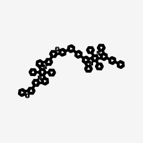 c1ccc(-c2ccc(-c3cc4c5ccccc5n5c6c(-c7ccccc7)c7c8cc(-c9ccc(-c%10cccc(-c%11ccc%12c(c%11)oc%11ccc(-c%13ccc%14c(c%13)c%13cccc%15c%16c(-c%17ccccc%17)c%17c(c(-c%18ccccc%18)c%16n%14c%13%15)c%13cccc%14c%15cc(-c%16ccc%18oc%19ccccc%19c%18c%16)ccc%15n%17c%14%13)cc%11%12)c%10)cc9)cc9c%10ccccc%10n(c7c(-c7ccccc7)c6c(c3)c45)c98)cc2)cc1